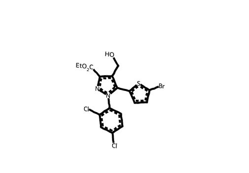 CCOC(=O)c1nn(-c2ccc(Cl)cc2Cl)c(-c2ccc(Br)s2)c1CO